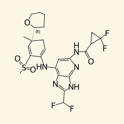 CC1([C@H]2CCCCO2)C=C(S(C)(=O)=O)C(Nc2cc(NC(=O)C3CC3(F)F)nc3[nH]c(C(F)F)nc23)=CC1